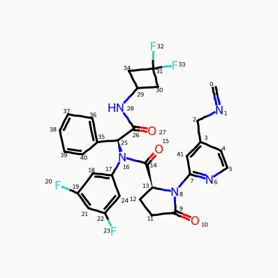 C=NCc1ccnc(N2C(=O)CC[C@H]2C(=O)N(c2cc(F)cc(F)c2)[C@H](C(=O)NC2CC(F)(F)C2)c2ccccc2)c1